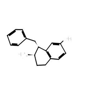 N[C@@H]1CCc2ccc(O)cc2[C@@H]1Cc1ccccc1